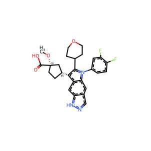 CO[C@@]1(C(=O)O)CC[C@@H](c2c(C3CCOCC3)n(-c3ccc(F)c(F)c3)c3cc4cn[nH]c4cc23)C1